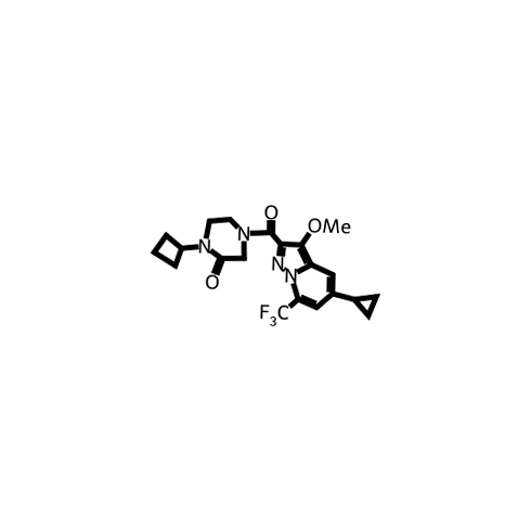 COc1c(C(=O)N2CCN(C3CCC3)C(=O)C2)nn2c(C(F)(F)F)cc(C3CC3)cc12